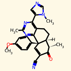 COc1ccc([C@]23C=C(C#N)C(=O)[C@@H](C)[C@@H]2CCc2c(-c4cncn4C)nc(C)nc23)cc1